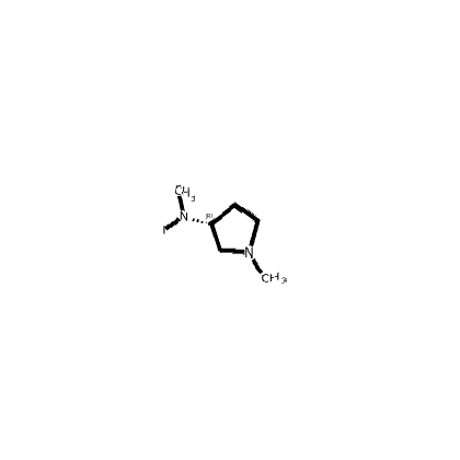 CN1CC[C@@H](N(C)I)C1